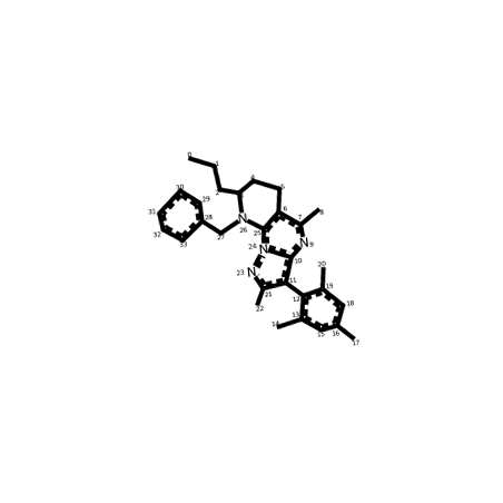 CCCC1CCc2c(C)nc3c(-c4c(C)cc(C)cc4C)c(C)nn3c2N1Cc1ccccc1